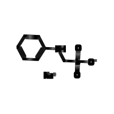 O=S(=O)([O-])CNc1ccccc1.[Na+]